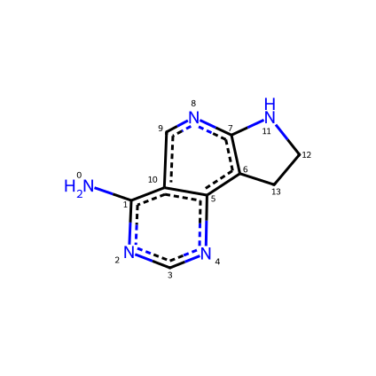 Nc1ncnc2c3c(ncc12)NCC3